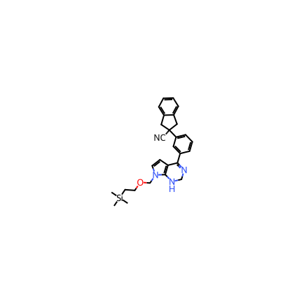 C[Si](C)(C)CCOCn1ccc2c1NCN=C2c1cccc(C2(C#N)Cc3ccccc3C2)c1